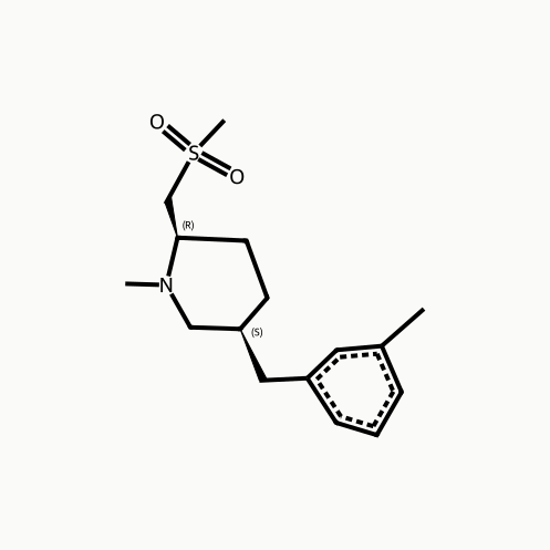 Cc1cccc(C[C@@H]2CC[C@H](CS(C)(=O)=O)N(C)C2)c1